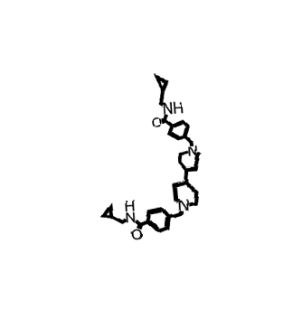 O=C(NCC1CC1)c1ccc(CN2CCC(C3CCN(Cc4ccc(C(=O)NCC5CC5)cc4)CC3)CC2)cc1